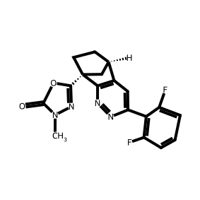 Cn1nc([C@]23CC[C@H](C2)c2cc(-c4c(F)cccc4F)nnc23)oc1=O